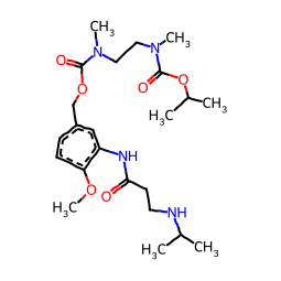 COc1ccc(COC(=O)N(C)CCN(C)C(=O)OC(C)C)cc1NC(=O)CCNC(C)C